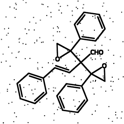 O=CC(/C=C/c1ccccc1)(C1(c2ccccc2)CO1)C1(c2ccccc2)CO1